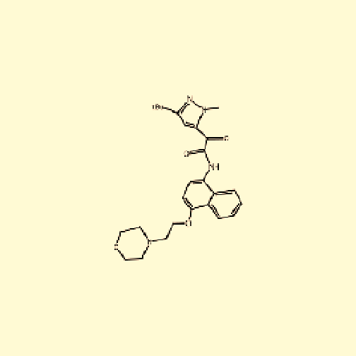 Cn1nc(C(C)(C)C)cc1C(=O)C(=O)Nc1ccc(OCCN2CCOCC2)c2ccccc12